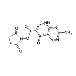 Nc1ncc2c(=O)c(C(=O)ON3C(=O)CCC3=O)c[nH]c2n1